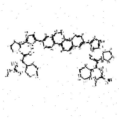 COC(=O)N[C@H](C(=O)N1CCCC1c1ncc(-c2ccc3c(c2)COc2c-3ccc3cc(-c4cnc([C@@H]5CCCN5C(=O)[C@@H](NC(O)OC)C5CCOCC5)[nH]4)ccc23)[nH]1)C1CCOCC1